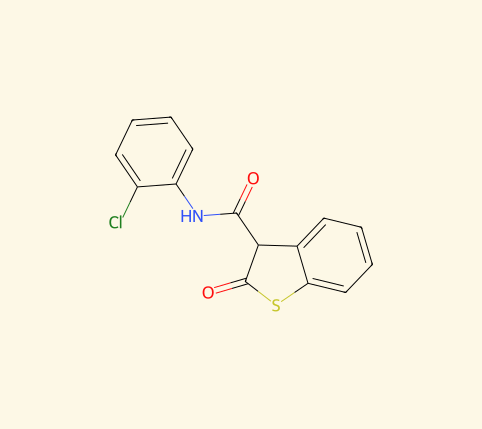 O=C(Nc1ccccc1Cl)C1C(=O)Sc2ccccc21